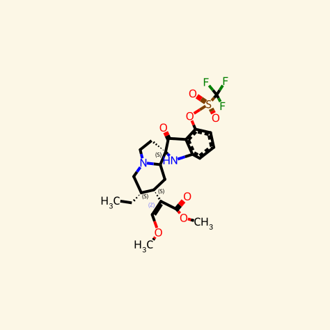 CC[C@@H]1CN2CC[C@]3(Nc4cccc(OS(=O)(=O)C(F)(F)F)c4C3=O)C2C[C@@H]1/C(=C/OC)C(=O)OC